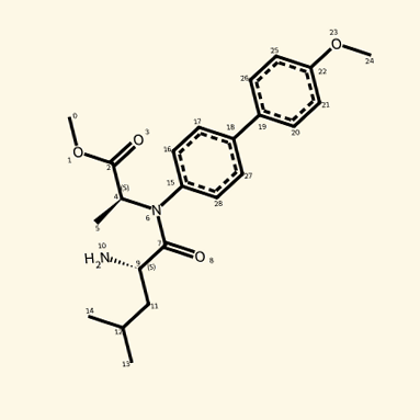 COC(=O)[C@H](C)N(C(=O)[C@@H](N)CC(C)C)c1ccc(-c2ccc(OC)cc2)cc1